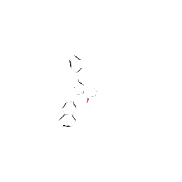 CC(C)C(=O)C1C=C(c2ccccc2)CC1c1ccc2ccccc2c1